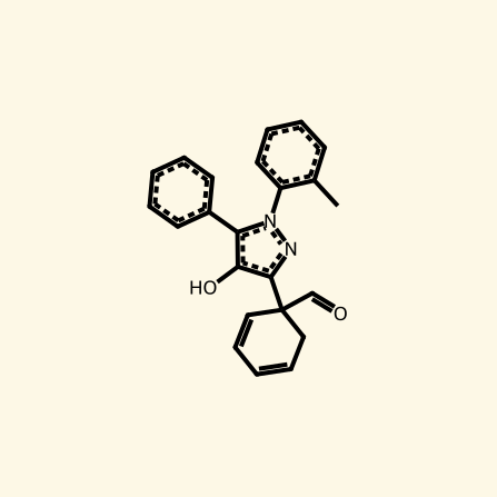 Cc1ccccc1-n1nc(C2(C=O)C=CC=CC2)c(O)c1-c1ccccc1